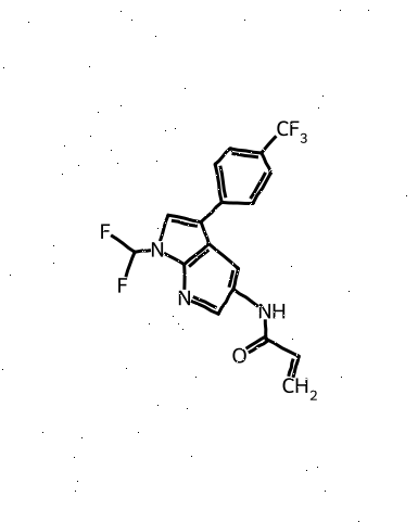 C=CC(=O)Nc1cnc2c(c1)c(-c1ccc(C(F)(F)F)cc1)cn2C(F)F